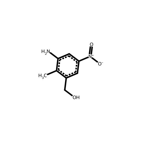 Cc1c(N)cc([N+](=O)[O-])cc1CO